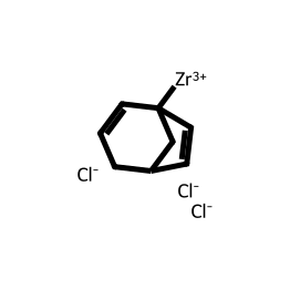 [Cl-].[Cl-].[Cl-].[Zr+3][C]12C=CCC(C=C1)C2